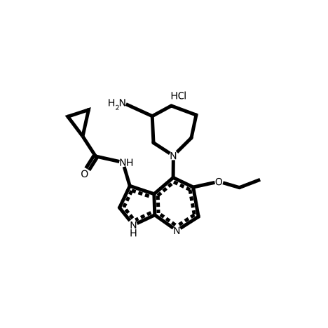 CCOc1cnc2[nH]cc(NC(=O)C3CC3)c2c1N1CCCC(N)C1.Cl